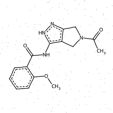 COc1ccccc1C(=O)Nc1[nH]nc2c1CN(C(C)=O)C2